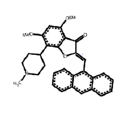 COc1cc(OC)c(C2CCN(C)CC2)c2c1C(=O)/C(=C/c1c3ccccc3cc3ccccc13)O2